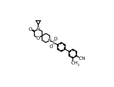 Cc1cc(-c2ccc(S(=O)(=O)N3CCC4(CC3)CN(C3CC3)C(=O)CO4)cc2)ccc1C#N